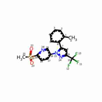 Cc1ccccc1-c1cc(C(F)(F)F)nn1-c1ccc(S(C)(=O)=O)nc1